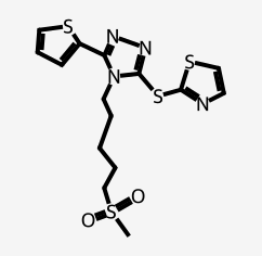 CS(=O)(=O)CCCCCn1c(Sc2nccs2)nnc1-c1cccs1